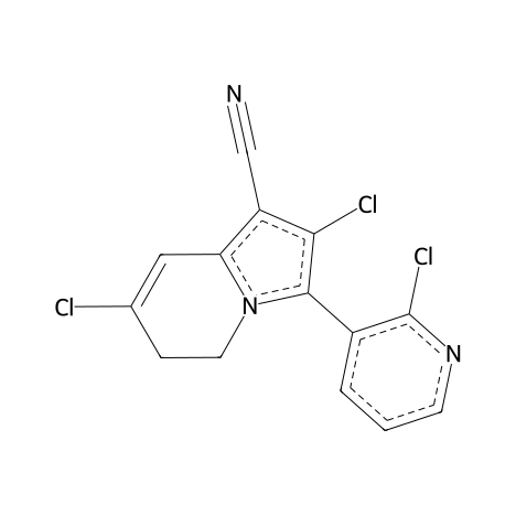 N#Cc1c(Cl)c(-c2cccnc2Cl)n2c1C=C(Cl)CC2